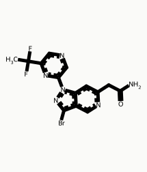 CC(F)(F)c1cncc(-n2nc(Br)c3cnc(CC(N)=O)cc32)n1